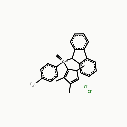 [CH2]=[Zr+2]([C]1=C(C)C(C)=CC1C)([c]1ccc(C(F)(F)F)cc1)[CH]1c2ccccc2-c2ccccc21.[Cl-].[Cl-]